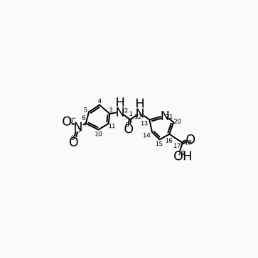 O=C(Nc1ccc([N+](=O)[O-])cc1)Nc1ccc(C(=O)O)cn1